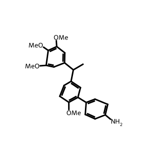 COc1ccc(C(C)c2cc(OC)c(OC)c(OC)c2)cc1-c1ccc(N)cc1